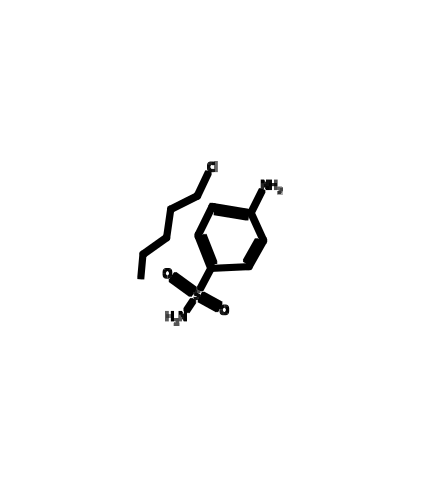 CCCCCCl.Nc1ccc(S(N)(=O)=O)cc1